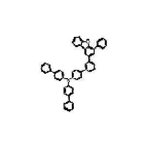 c1ccc(-c2ccc(N(c3ccc(-c4ccccc4)cc3)c3ccc(-c4cccc(-c5cc(-c6ccccc6)c6oc7ccccc7c6c5)c4)cc3)cc2)cc1